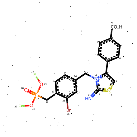 N=c1scc(-c2ccc(C(=O)O)cc2)n1Cc1ccc(CP(=O)(OF)OF)c(Br)c1